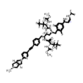 COC(=O)N[C@H](C(=O)N[C@@H](Cc1ccc(C#Cc2ccc(N3C[C@H]4CN(C)C[C@H]4C3)nc2)cc1)[C@@H](O)CN(Cc1c(F)cc(C(=N)/C=C\NC(F)F)cc1F)NC(=O)[C@@H](NC(=O)OC)C(C)(C)C(F)(F)F)C(C)(C)C(F)(F)F